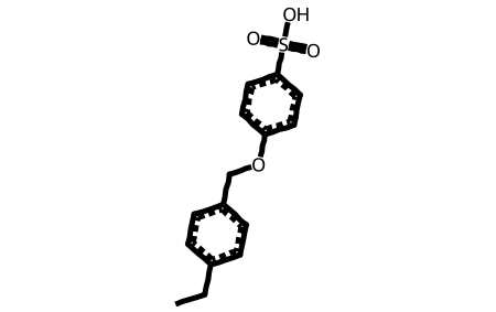 CCc1ccc(COc2ccc(S(=O)(=O)O)cc2)cc1